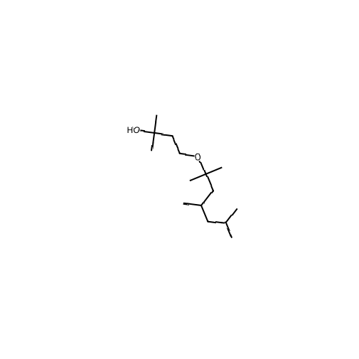 CC(C)CC(C)CC(C)(C)OCCC(C)(C)O